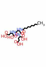 CCCCCCCCCC(=O)NC(CC(=O)NC(CCC(=O)O)C(=O)O)C(=O)NC(CCC(=O)O)C(=O)O